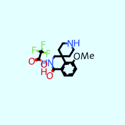 COc1cccc2c1C1(CCNCC1)CNC2=O.O=C(O)C(F)(F)F